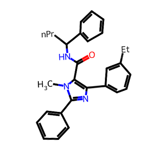 CCCC(NC(=O)c1c(-c2cccc(CC)c2)nc(-c2ccccc2)n1C)c1ccccc1